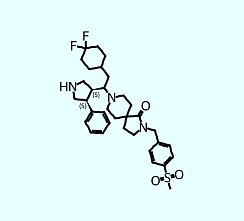 CS(=O)(=O)c1ccc(CN2CCC3(CCN(C(CC4CCC(F)(F)CC4)[C@@H]4CNC[C@@H]4c4ccccc4)CC3)C2=O)cc1